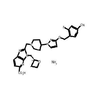 N.N#Cc1ccc(COc2ccn(C3CCN(Cc4nc5ccc(C(=O)O)nc5n4C[C@@H]4CCO4)CC3)n2)c(F)c1